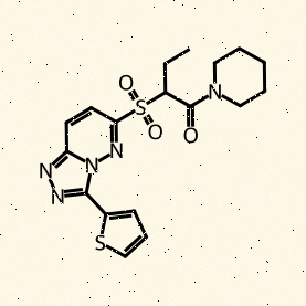 CCC(C(=O)N1CCCCC1)S(=O)(=O)c1ccc2nnc(-c3cccs3)n2n1